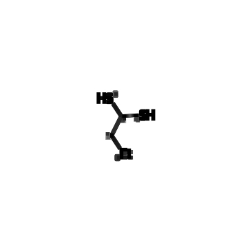 [CH2]CCC(S)S